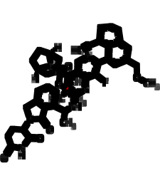 C#Cc1cccc2cc(COC)cc(-c3ncc4c(N5C[C@H]6CC[C@@H](C5)N6C(=O)OC(C)(C)C)nc(NC(C)c5cccc6c5C(=O)N(C5CCC(=O)NC5=O)C6)nc4c3F)c12